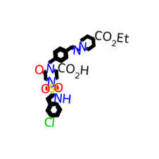 CCOC(=O)C1CCN(N=Cc2ccc(CN3C(=O)CN(S(=O)(=O)c4cc5cc(Cl)ccc5[nH]4)C[C@@H]3C(=O)O)cc2)CC1